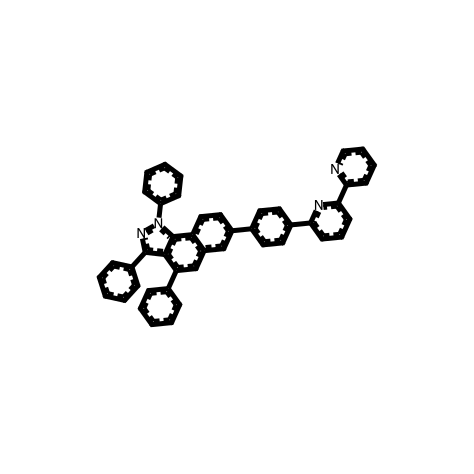 c1ccc(-c2cc3cc(-c4ccc(-c5cccc(-c6ccccn6)n5)cc4)ccc3c3c2c(-c2ccccc2)nn3-c2ccccc2)cc1